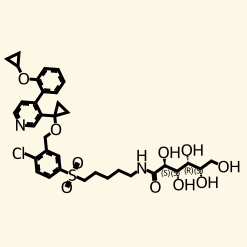 O=C(NCCCCCS(=O)(=O)c1ccc(Cl)c(COC2(c3cnccc3-c3ccccc3OC3CC3)CC2)c1)[C@@H](O)[C@@H](O)[C@H](O)[C@@H](O)CO